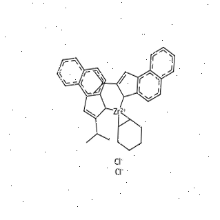 CC(C)C1=Cc2c(ccc3ccccc23)[CH]1[Zr+2]1([CH]2C(C(C)C)=Cc3c2ccc2ccccc32)[CH]2CCCC[CH]21.[Cl-].[Cl-]